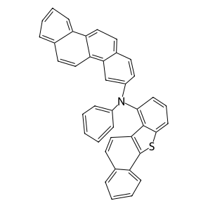 c1ccc(N(c2ccc3ccc4c5ccccc5ccc4c3c2)c2cccc3sc4c5ccccc5ccc4c23)cc1